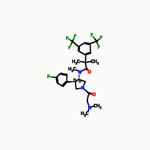 CN(C)CC(=O)N1C[C@@H](N(C)C(=O)C(C)(C)c2cc(C(F)(F)F)cc(C(F)(F)F)c2)[C@H](c2ccc(F)cc2)C1